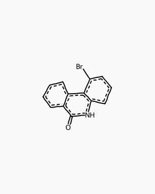 O=c1[nH]c2cccc(Br)c2c2ccccc12